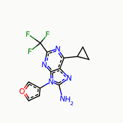 Nc1nc2c(C3CC3)nc(C(F)(F)F)nc2n1-c1ccoc1